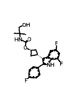 CC(C)(CO)NC(=O)O[C@H]1C[C@H](c2c(-c3ccc(F)cc3)[nH]c3c(F)cc(F)cc32)C1